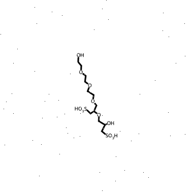 O=S(=O)(O)CC(O)COC(COCCOCCOCCO)CS(=O)(=O)O